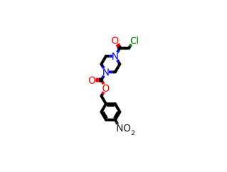 O=C(CCl)N1CCN(C(=O)OCc2ccc([N+](=O)[O-])cc2)CC1